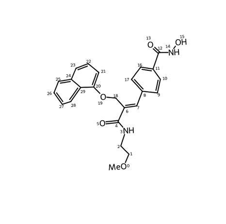 COCCNC(=O)/C(=C/c1ccc(C(=O)NO)cc1)COc1cccc2ccccc12